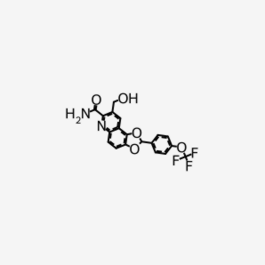 NC(=O)c1nc2ccc3c(c2cc1CO)OC(c1ccc(OC(F)(F)F)cc1)O3